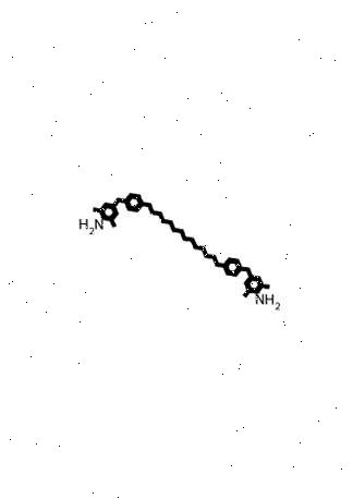 Cc1cc(Cc2ccc(CCCCCCCCCCCCCCc3ccc(Cc4cc(C)c(N)c(C)c4)cc3)cc2)cc(C)c1N